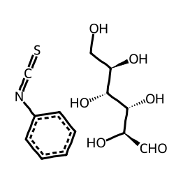 O=C[C@@H](O)[C@@H](O)[C@H](O)[C@H](O)CO.S=C=Nc1ccccc1